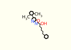 Cc1cccc(C)c1-c1cnc2nc(C(O)CCCCCc3ccccc3)oc2c1